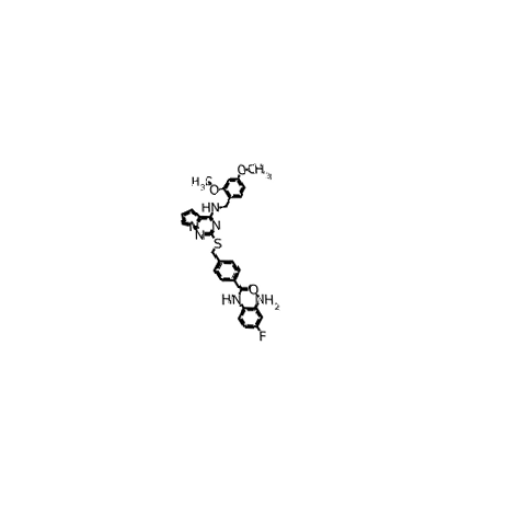 COc1ccc(CNc2nc(SCc3ccc(C(=O)Nc4ccc(F)cc4N)cc3)nn3cccc23)c(OC)c1